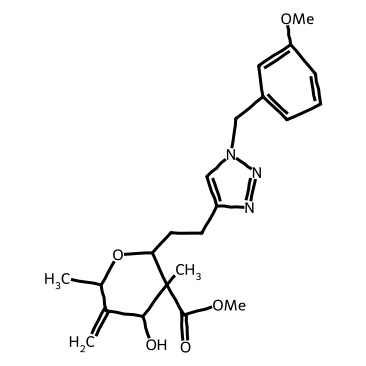 C=C1C(C)OC(CCc2cn(Cc3cccc(OC)c3)nn2)C(C)(C(=O)OC)C1O